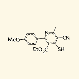 CCOC(=O)c1c(-c2ccc(OC)cc2)nc(C)c(C#N)c1S